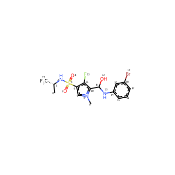 C[C@@H](NS(=O)(=O)c1cn(C)c(C(O)Nc2cccc(Br)c2)c1F)C(F)(F)F